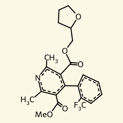 COC(=O)c1c(C)nc(C)c(C(=O)OCC2CCCO2)c1-c1ccccc1C(F)(F)F